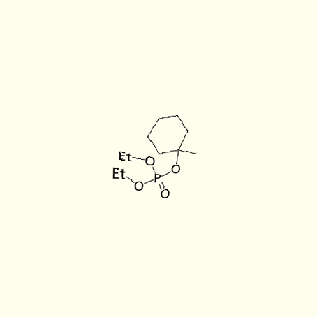 CCOP(=O)(OCC)OC1(C)CCCCC1